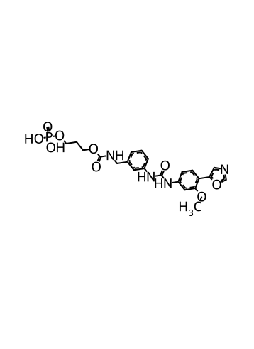 COc1cc(NC(=O)Nc2cccc(CNC(=O)OCCCOP(=O)(O)O)c2)ccc1-c1cnco1